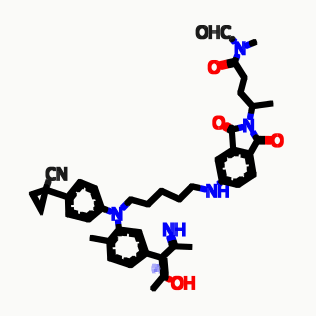 CC(=N)/C(=C(/C)O)c1ccc(C)c(N(CCCCCNc2ccc3c(c2)C(=O)N(C(C)CCC(=O)N(C)C=O)C3=O)c2ccc(C3(C#N)CC3)cc2)c1